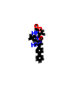 CC(C)[C@H](NC(=O)C=O)C(=O)N1CC2(CC2)C[C@H]1c1ncc(-c2ccc(-c3ccccc3)cc2)[nH]1